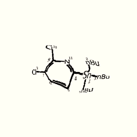 CCC[CH2][Sn]([CH2]CCC)([CH2]CCC)[c]1ccc(Cl)c(Cl)n1